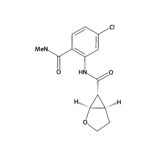 CNC(=O)c1ccc(Cl)cc1NC(=O)[C@@H]1[C@H]2CCO[C@H]21